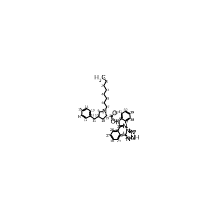 CCCCCCCCN1CC(Cc2ccccc2)C[C@H]1C(=O)On1c(-c2ccccc2-c2nn[nH]n2)nc2ccccc21